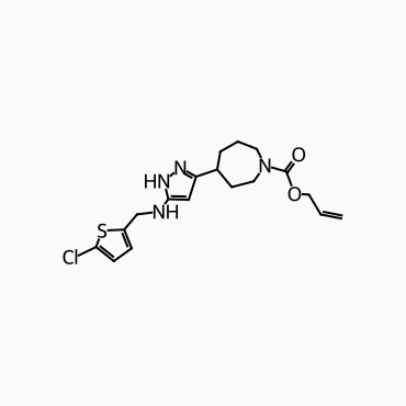 C=CCOC(=O)N1CCCC(c2cc(NCc3ccc(Cl)s3)[nH]n2)CC1